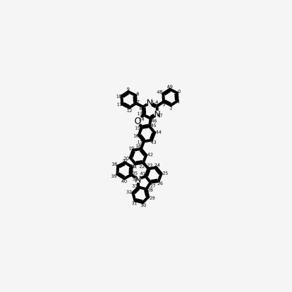 c1ccc(-c2nc(-c3ccccc3)c3oc4cc(-c5cccc(-c6cccc7c8ccccc8n(-c8ccccc8)c67)c5)ccc4c3n2)cc1